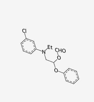 CCN(CC(OC=O)Oc1ccccc1)c1cccc(Cl)c1